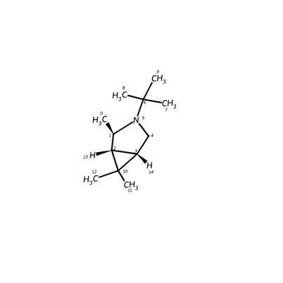 C[C@@H]1[C@@H]2[C@H](CN1C(C)(C)C)C2(C)C